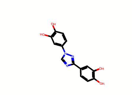 Oc1ccc(-c2ncn(-c3ccc(O)c(O)c3)n2)cc1O